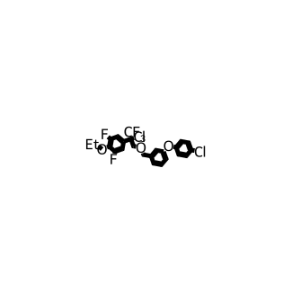 CCOc1c(F)cc(C(Cl)(COCc2cccc(Oc3ccc(Cl)cc3)c2)C(F)(F)F)cc1F